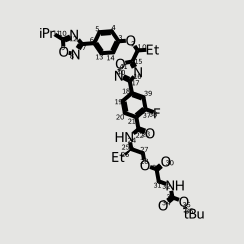 CCC(Oc1ccc(-c2noc(C(C)C)n2)cc1)c1nc(-c2ccc(C(=O)N[C@H](CC)COC(=O)CNC(=O)OC(C)(C)C)c(F)c2)no1